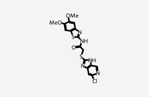 COc1cc2nc(NC(=O)CSc3nc4cc(Cl)ncc4[nH]3)sc2cc1OC